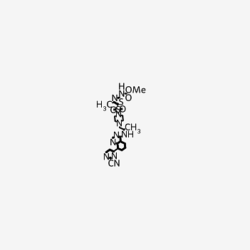 COC(=O)Nc1nc(C)c(S(=O)(=O)N2CCN(CC(C)Nc3ncnc4c(-c5ccnc(C#N)n5)cccc34)CC2)s1